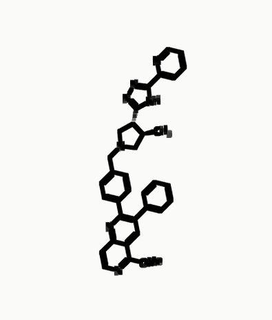 COc1nccc2nc(-c3ccc(CN4C[C@H](c5nnc(-c6ccccn6)[nH]5)[C@@H](C)C4)cc3)c(-c3ccccc3)cc12